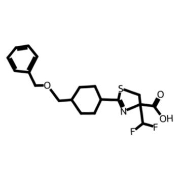 O=C(O)C1(C(F)F)CSC(C2CCC(COCc3ccccc3)CC2)=N1